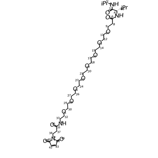 CC(C)NC(=O)[C@@H](NC(=O)CCOCCOCCOCCOCCOCCOCCOCCOCCNC(=O)CCN1C(=O)C=CC1=O)C(C)C